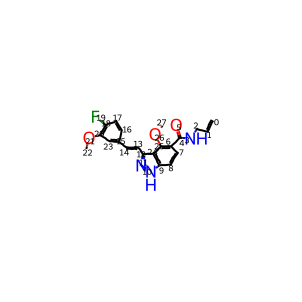 C=CCNC(=O)c1ccc2[nH]nc(C=Cc3ccc(F)c(OC)c3)c2c1OC